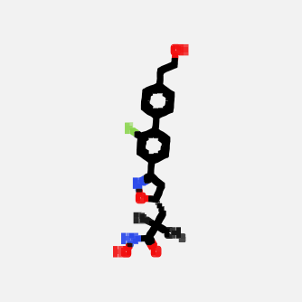 CC[C@](C)(C[C@H]1CC(c2ccc(-c3ccc(CCO)cc3)c(F)c2)=NO1)C(=O)NO